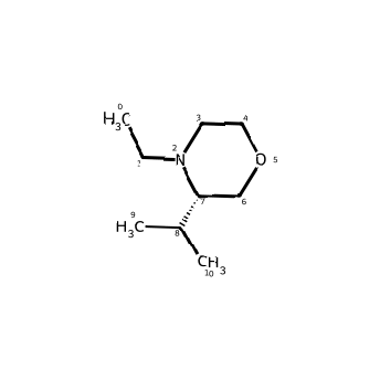 CCN1CCOC[C@@H]1C(C)C